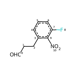 O=CCCc1cccc(F)c1[N+](=O)[O-]